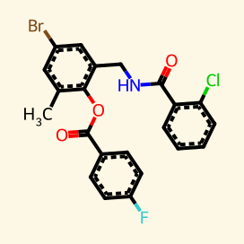 Cc1cc(Br)cc(CNC(=O)c2ccccc2Cl)c1OC(=O)c1ccc(F)cc1